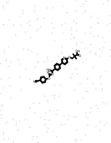 CC(C)(COc1ccc(-c2ccc(-c3nc(Oc4ccc(C#N)cc4)n[nH]3)cc2)cn1)C(=O)O